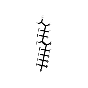 FC(=C(F)C(F)(F)C(F)(F)C(F)(F)C(F)(F)F)C(F)(F)C(F)(F)C(F)C(F)F